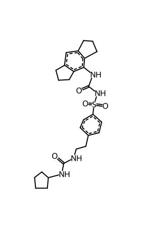 O=C(NCCc1ccc(S(=O)(=O)NC(=O)Nc2c3c(cc4c2CCC4)CCC3)cc1)NC1CCCC1